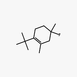 CC1=C(C(C)(C)C)CCC(C)(F)C1